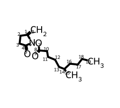 C=C1CCC(=O)N1OC(=O)CCCCC(C)CCCC